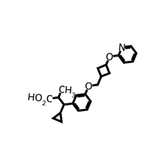 CC(C(=O)O)C(c1cccc(OCC2CC(Oc3ccccn3)C2)c1)C1CC1